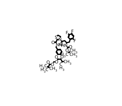 CC(C)C(Oc1ccc(CNC(=O)C2SCCN2C(=O)CC(Cc2cc(F)c(F)cc2F)NC(=O)OC(C)(C)C)cc1)C(=O)OCOC(=O)C(C)(C)C